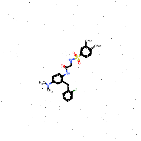 COc1ccc(S(=O)(=O)NCC(=O)Nc2ccc(N(C)C)cc2Cc2ccccc2Cl)cc1OC